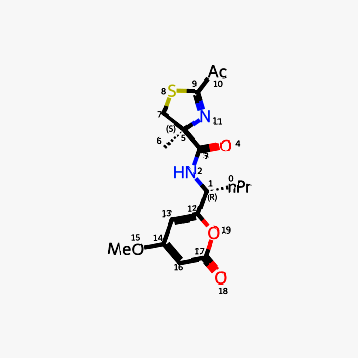 CCC[C@@H](NC(=O)[C@@]1(C)CSC(C(C)=O)=N1)c1cc(OC)cc(=O)o1